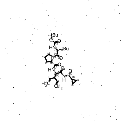 C=CC(C=C)[C@@H](NC(=O)[C@@H]1CCCN1C(=O)[C@@H](NC(=O)OC(C)(C)C)C(C)(C)C)C(=O)N[S+]([O-])C1CC1